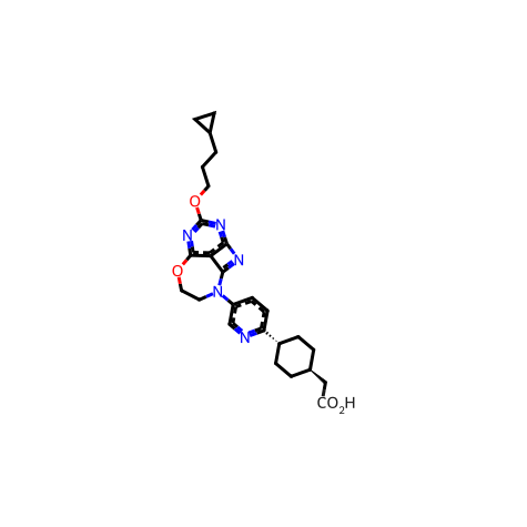 O=C(O)C[C@H]1CC[C@H](c2ccc(N3CCOc4nc(OCCCC5CC5)nc5c4C3=N5)cn2)CC1